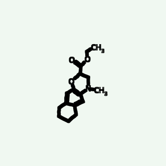 CCOC(=O)C1CN(C)c2cc3c(cc2O1)CCCC3